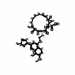 COc1ccc2c(OCC[C@@H]3NC(=O)N(C)CCCC/C=C\[C@@H]4C[C@@]4(C(=O)O)NC3=O)cc(C3=NC(C)N=C3)nc2c1C